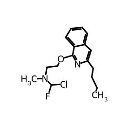 CCCCc1cc2ccccc2c(OCCN(C)C(F)Cl)n1